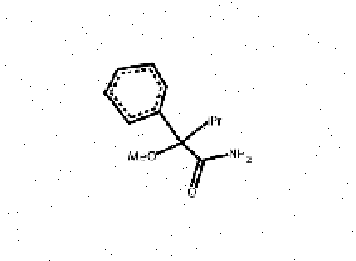 COC(C(N)=O)(c1ccccc1)C(C)C